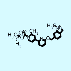 C[C@H]1CC(c2cccc(OCc3ccc4cnn(C)c4c3)n2)=CCN1C(=O)OC(C)(C)C